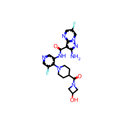 Nc1nn2cc(F)cnc2c1C(=O)Nc1cncc(F)c1N1CCC(C(=O)N2CC(O)C2)CC1